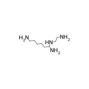 NCCCCCC(N)NCCN